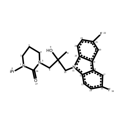 CC(C)N1CCCN(CC(C)(O)Cn2c3ccc(F)cc3c3cc(F)ccc32)C1=O